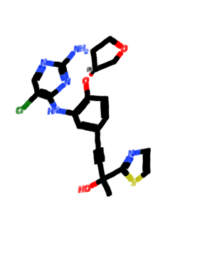 CC(O)(C#Cc1ccc(O[C@@H]2CCOC2)c(Nc2nc(N)ncc2Cl)c1)c1nccs1